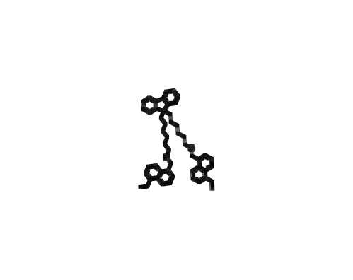 C=Cc1cccc2c(COCCCCCCC3(CCCCCCOCc4cccc5c(C=C)cccc45)c4ccccc4-c4ccccc43)cccc12